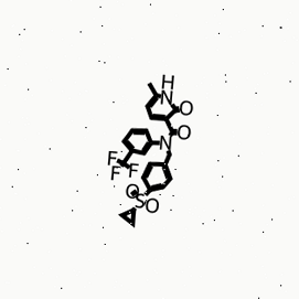 Cc1ccc(C(=O)N(Cc2ccc(S(=O)(=O)C3CC3)cc2)c2cccc(C(F)(F)F)c2)c(=O)[nH]1